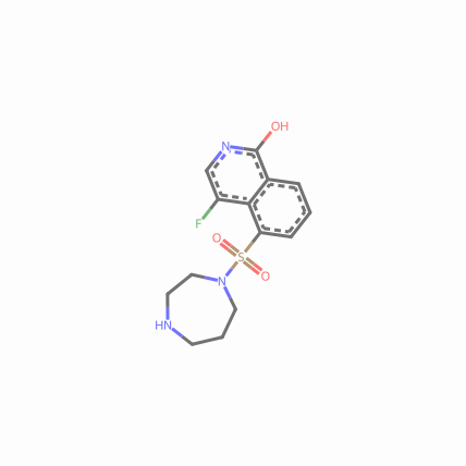 O=S(=O)(c1cccc2c(O)ncc(F)c12)N1CCCNCC1